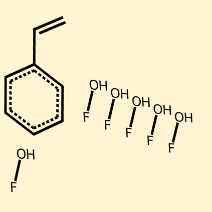 C=Cc1ccccc1.OF.OF.OF.OF.OF.OF